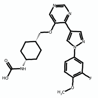 COc1ccc(-n2cc(-c3ncncc3OC[C@H]3CC[C@@H](NC(=O)O)CC3)cn2)cc1F